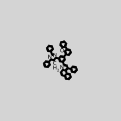 C=C1C(c2ccccc2)=NC(c2ccccc2)=NC1c1cc(-c2cc(-c3ccccc3)c3c(ccc4ccccc43)n2)cc(-c2cccc3c2oc2ccccc23)c1